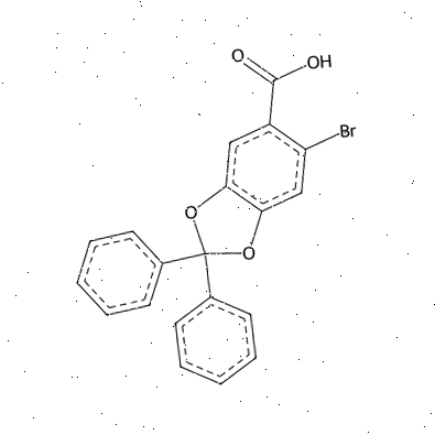 O=C(O)c1cc2c(cc1Br)OC(c1ccccc1)(c1ccccc1)O2